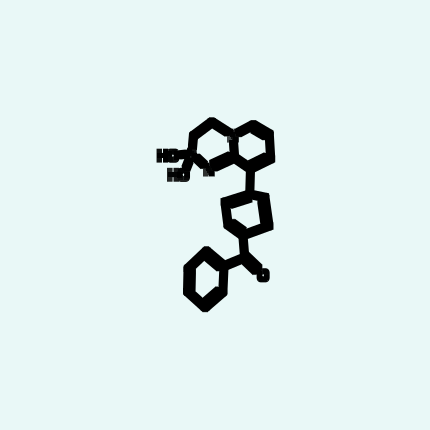 O=C(c1ccccc1)c1ccc(C2=CC=CN3CCS(O)(O)N=C23)cc1